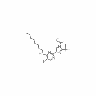 CCCCCCCCNc1nc(-c2cn(C(C)=O)c(C(C)(I)I)n2)ncc1F